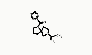 CC(C)N1CCC2(CCCN2C(=O)n2cncn2)C1